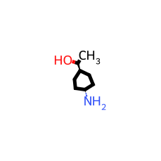 CC(O)[C@H]1CC[C@H](N)CC1